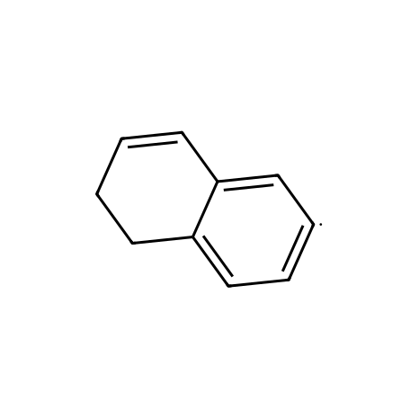 [c]1ccc2c(c1)C=CCC2